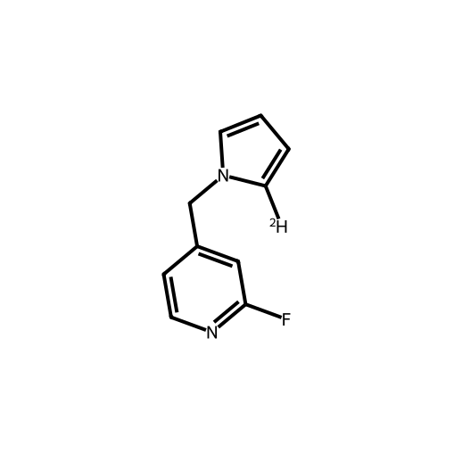 [2H]c1cccn1Cc1ccnc(F)c1